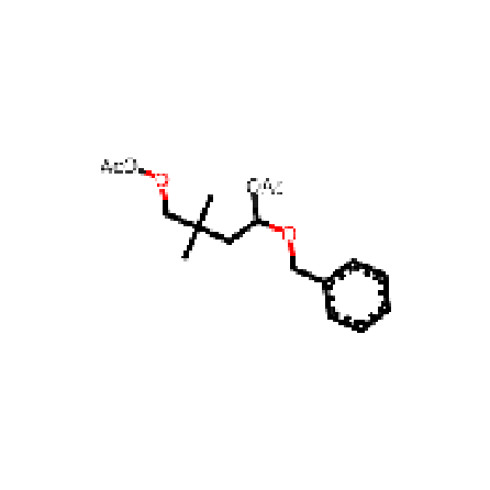 CC(=O)OOCC(C)(C)CC(OCc1ccccc1)OC(C)=O